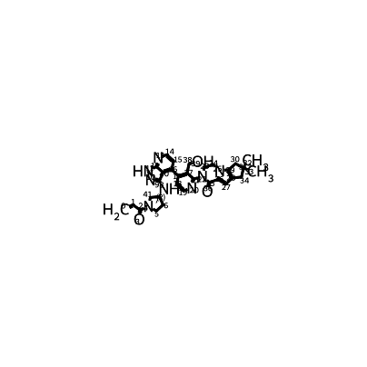 C=CC(=O)N1CC[C@@H](Nc2n[nH]c3nccc(-c4ccnc(N5CCn6c(cc7c6CC(C)(C)C7)C5=O)c4CO)c23)C1